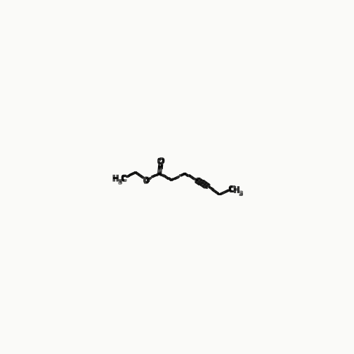 CCC#CCCC(=O)OCC